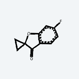 O=C1c2ccc(F)cc2OC12CC2